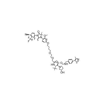 COc1nc(OCCCCOCCOCC(=O)N[C@H](C(=O)N2C[C@H](O)C[C@H]2C(=O)NCc2ccc(-c3scnc3C)cc2)C(C)(C)C)ccc1N1C(=S)N(c2ccc(C#N)c(C(F)(F)F)c2F)C(=O)C1(C)C